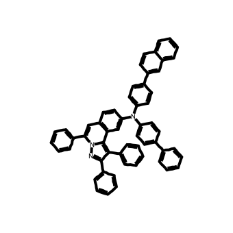 c1ccc(-c2ccc(N(c3ccc(-c4ccc5ccccc5c4)cc3)c3ccc4cc(-c5ccccc5)n5nc(-c6ccccc6)c(-c6ccccc6)c5c4c3)cc2)cc1